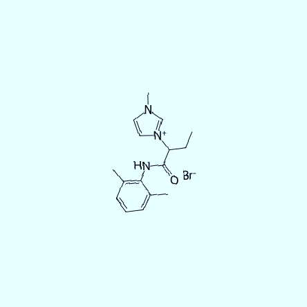 CCC(C(=O)Nc1c(C)cccc1C)[n+]1ccn(C)c1.[Br-]